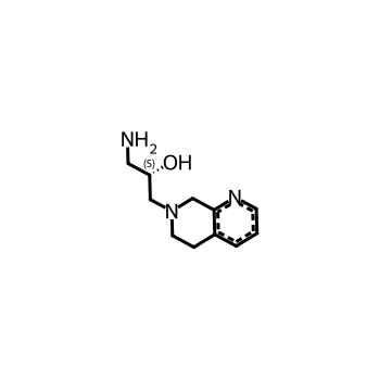 NC[C@H](O)CN1CCc2cccnc2C1